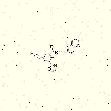 COc1cc2c(c(-c3ncco3)c1)CN(CCc1ccc3ncccc3n1)C2=O